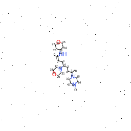 CC(CCC(CCC(C)N1CCN(C)CC1)N1CCOCC1)NC1CCOCC1